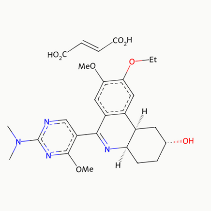 CCOc1cc2c(cc1OC)C(c1cnc(N(C)C)nc1OC)=N[C@@H]1CC[C@@H](O)C[C@H]21.O=C(O)C=CC(=O)O